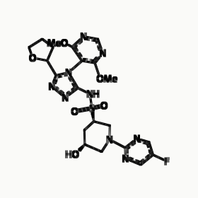 COc1ncnc(OC)c1-n1c(NS(=O)(=O)[C@@H]2C[C@H](O)CN(c3ncc(F)cn3)C2)nnc1C1CCCO1